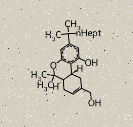 CCCCCCCC(C)(C)c1cc(O)c2c(c1)OC(C)(C)[C@@H]1CC=C(CO)C[C@@H]21